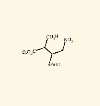 CCCCCC(C[N+](=O)[O-])C(C(=O)O)C(=O)OCC